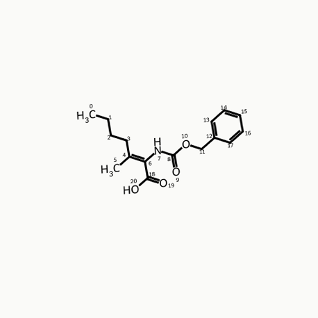 CCCCC(C)=C(NC(=O)OCc1ccccc1)C(=O)O